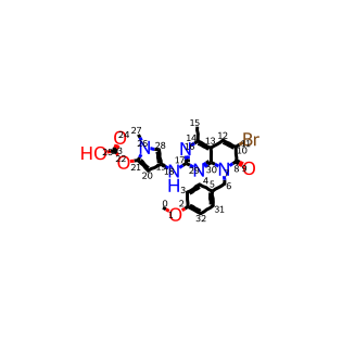 COc1ccc(Cn2c(=O)c(Br)cc3c(C)nc(Nc4cc(OC(=O)O)n(C)c4)nc32)cc1